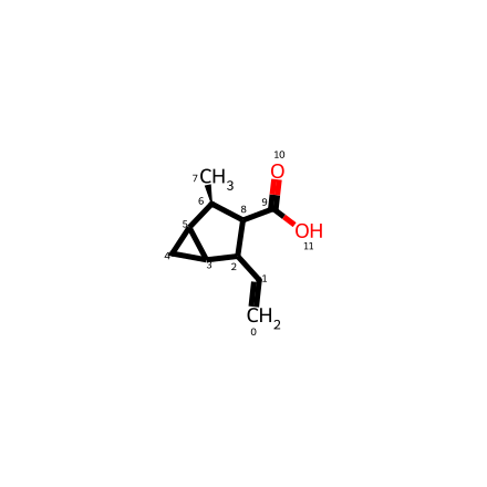 C=CC1C2CC2[C@@H](C)C1C(=O)O